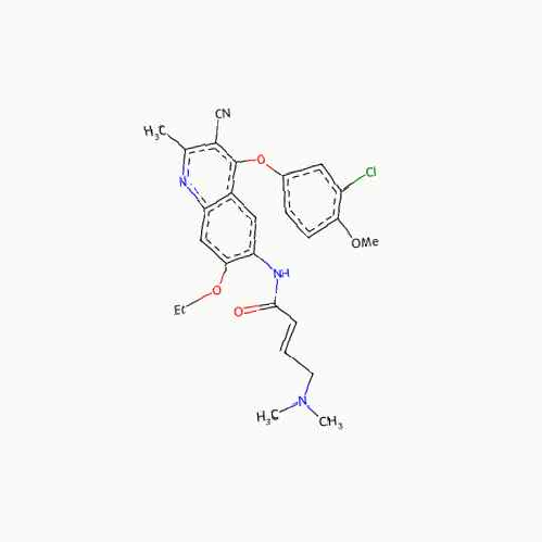 CCOc1cc2nc(C)c(C#N)c(Oc3ccc(OC)c(Cl)c3)c2cc1NC(=O)/C=C/CN(C)C